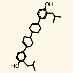 CC(C)Cc1cc(C2=CCC(C3CC=C(c4ccc(O)c(CC(C)C)c4)CC3)CC2)ccc1O